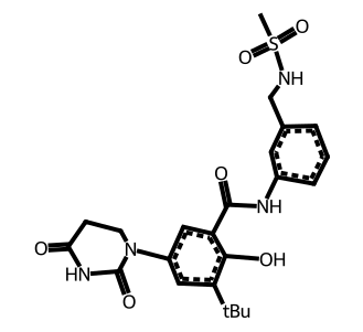 CC(C)(C)c1cc(N2CCC(=O)NC2=O)cc(C(=O)Nc2cccc(CNS(C)(=O)=O)c2)c1O